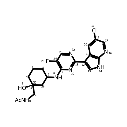 CC(=O)NC[C@]1(O)CCCC(Nc2nc(-c3c[nH]c4ncc(Cl)cc34)ncc2F)C1